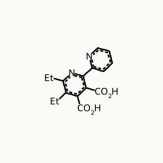 CCc1nc(-c2ccccn2)c(C(=O)O)c(C(=O)O)c1CC